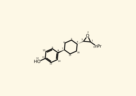 CCCC1OC1[C@H]1CC[C@H](c2ccc(O)cc2)CC1